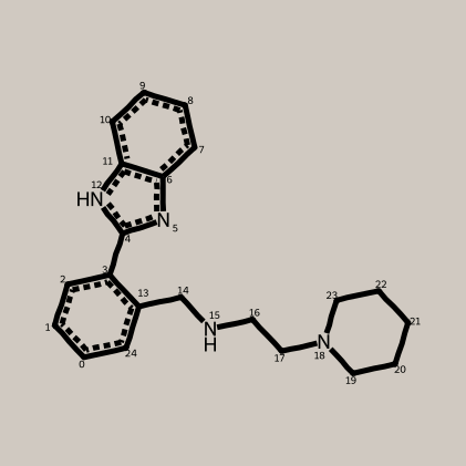 c1ccc(-c2nc3ccccc3[nH]2)c(CNCCN2CCCCC2)c1